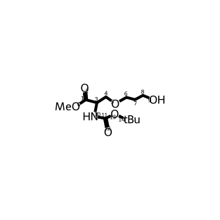 COC(=O)C(COCCCO)NC(=O)OC(C)(C)C